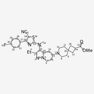 CCc1nn2ccc(N3CCC4(CC3)CC(C(=O)OC)C4)cc2c1N(C)c1nc(-c2ccc(F)cc2)c(C#N)s1